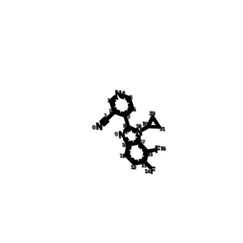 N#Cc1cnccc1-c1nc2ccc(F)c(F)c2n1C1CC1